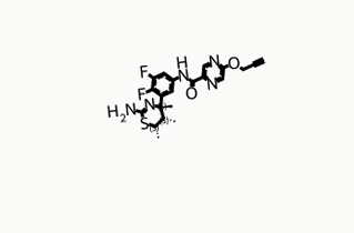 C#CCOc1cnc(C(=O)Nc2cc(F)c(F)c([C@@]3(C)N=C(N)S[C@@H](C)[C@H]3C)c2)cn1